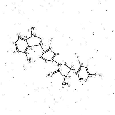 CC(C)n1cc(-c2ccc(N3CC(c4ccc(F)cc4F)N(C)C3=O)cc2F)c2c(N)ncnc21